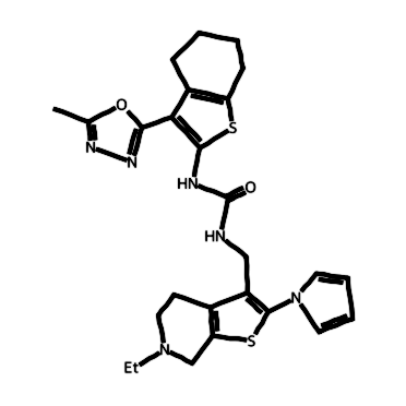 CCN1CCc2c(sc(-n3cccc3)c2CNC(=O)Nc2sc3c(c2-c2nnc(C)o2)CCCC3)C1